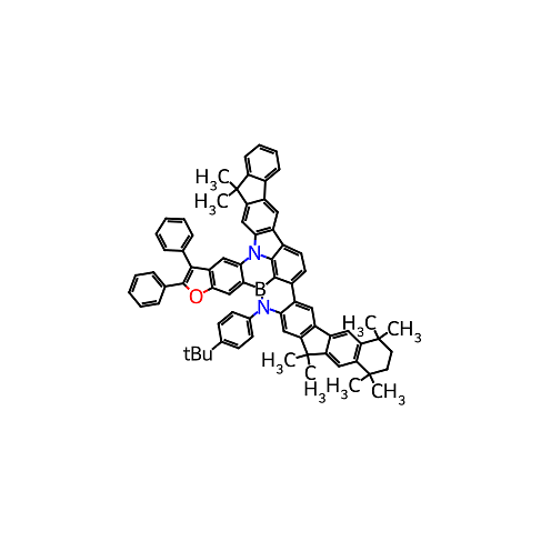 CC(C)(C)c1ccc(N2B3c4cc5oc(-c6ccccc6)c(-c6ccccc6)c5cc4-n4c5cc6c(cc5c5ccc(c3c54)-c3cc4c(cc32)C(C)(C)c2cc3c(cc2-4)C(C)(C)CCC3(C)C)-c2ccccc2C6(C)C)cc1